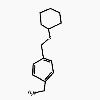 NCc1ccc(CSC2CCCCC2)cc1